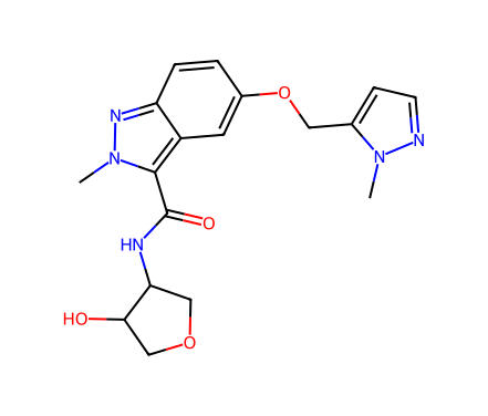 Cn1nccc1COc1ccc2nn(C)c(C(=O)NC3COCC3O)c2c1